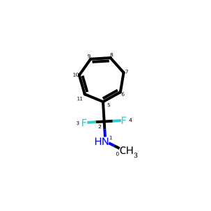 CNC(F)(F)C1=CCC=CC=C1